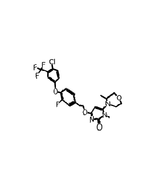 CC1COCCN1c1cc(OCc2ccc(Oc3ccc(Cl)c(C(F)(F)F)c3)c(F)c2)nc(=O)n1C